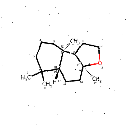 CC1(C)CCC[C@@]2(C)C3CCO[C@@]3(C)CC[C@H]12